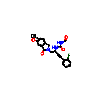 COc1ccc2c(c1)C(=O)N(CC(C#Cc1ccccc1F)NC(=O)NC=O)C2